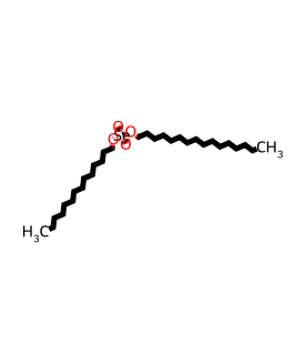 CCCCCCCCCCCCCCCCO[Se](=O)(=O)OCCCCCCCCCCCCCC